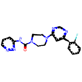 O=C(Nc1cccnn1)N1CCN(c2cc(-c3ccccc3F)ncn2)CC1